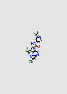 O=C(Nc1cnnc(C(F)F)c1)N1CC(C(F)(F)F)c2c1cnc1cc(Cl)nn21